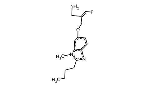 CCCCc1nc2ccc(OC/C(=C\F)CN)cc2n1C